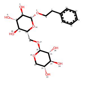 O[C@@H]1[C@@H](O)[C@H](OCCc2ccccc2)O[C@H](CO[C@@H]2OC[C@@H](O)[C@H](O)[C@H]2O)[C@H]1O